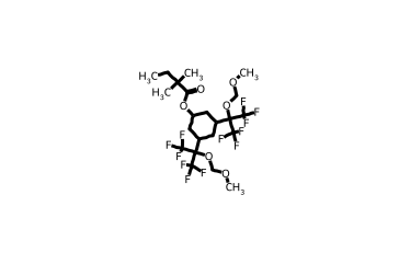 CCC(C)(C)C(=O)OC1CC(C(OCOC)(C(F)(F)F)C(F)(F)F)CC(C(OCOC)(C(F)(F)F)C(F)(F)F)C1